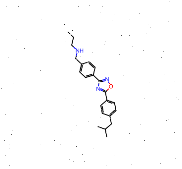 [CH2]CCNCc1ccc(-c2noc(-c3ccc(CC(C)C)cc3)n2)cc1